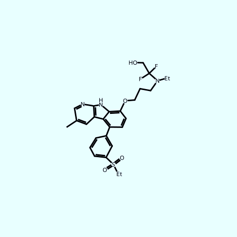 CCN(CCCOc1ccc(-c2cccc(S(=O)(=O)CC)c2)c2c1[nH]c1ncc(C)cc12)C(F)(F)CO